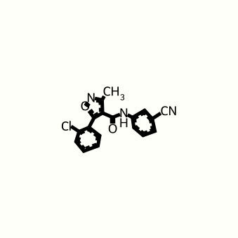 Cc1noc(-c2ccccc2Cl)c1C(=O)Nc1cccc(C#N)c1